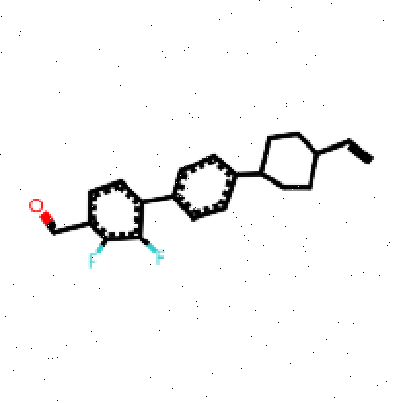 C=CC1CCC(c2ccc(-c3ccc(C=O)c(F)c3F)cc2)CC1